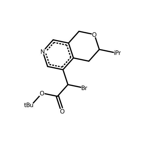 CC(C)C1Cc2c(cncc2C(Br)C(=O)OC(C)(C)C)CO1